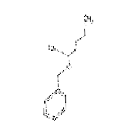 CCCCC(Cl)OCc1ccccc1